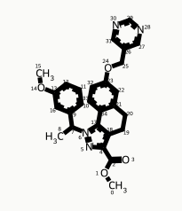 COC(=O)c1nn(C(C)c2cccc(OC)c2)c2c1CCc1cc(OCc3cncnc3)ccc1-2